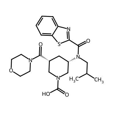 CC(C)CN(C(=O)c1nc2ccccc2s1)[C@H]1C[C@@H](C(=O)N2CCOCC2)CN(C(=O)O)C1